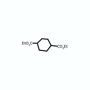 CCOC(=O)C1CCC(C(=O)OCC)CC1